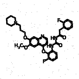 COc1cc2c(Oc3c(F)cccc3NC(=O)NC(=O)Cc3ccccc3F)ccnc2cc1OCCCN1CCCCC1